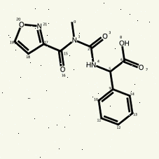 CN(C(=O)NC(C(=O)O)c1ccccc1)C(=O)c1ccon1